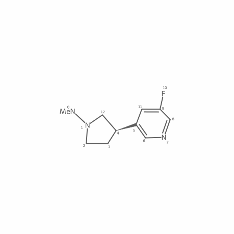 CNN1CC[C@H](c2cncc(F)c2)C1